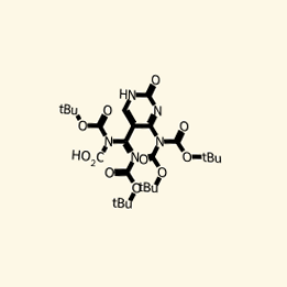 CC(C)(C)OC(=O)/N=C(/c1c[nH]c(=O)nc1N(C(=O)OC(C)(C)C)C(=O)OC(C)(C)C)N(C(=O)O)C(=O)OC(C)(C)C